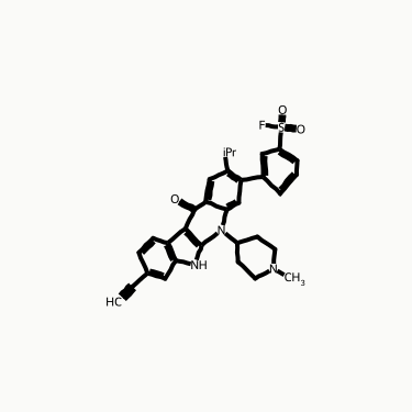 C#Cc1ccc2c(c1)[nH]c1c2c(=O)c2cc(C(C)C)c(-c3cccc(S(=O)(=O)F)c3)cc2n1C1CCN(C)CC1